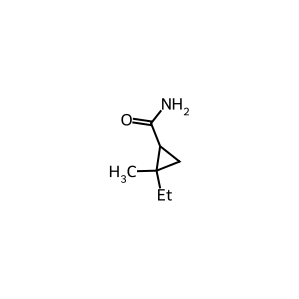 CCC1(C)CC1C(N)=O